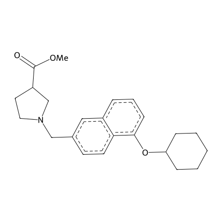 COC(=O)C1CCN(Cc2ccc3c(OC4CCCCC4)cccc3c2)C1